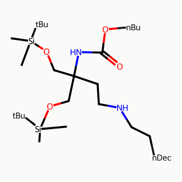 CCCCCCCCCCCCNCCC(CO[Si](C)(C)C(C)(C)C)(CO[Si](C)(C)C(C)(C)C)NC(=O)OCCCC